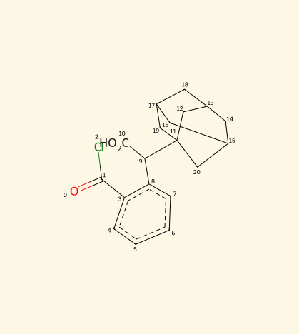 O=C(Cl)c1ccccc1C(C(=O)O)C12CC3CC(CC(C3)C1)C2